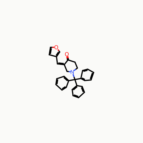 O=C1CCN(C(c2ccccc2)(c2ccccc2)c2ccccc2)CC1=Cc1ccoc1